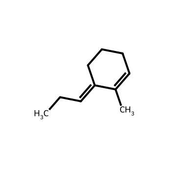 CCC=C1CCCC=C1C